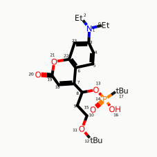 CCN(CC)c1ccc2c(C(CCOC(C)(C)C)OP(=O)(O)C(C)(C)C)cc(=O)oc2c1